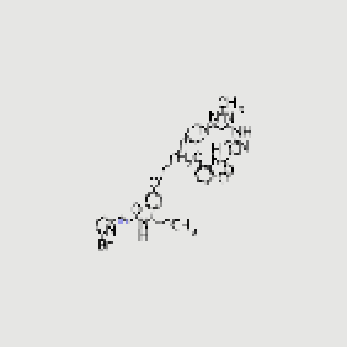 CCCC(NC(=O)/C=C/c1cccc(Br)n1)c1ccc(OCCCCCCN2CCN(c3cc(Nc4ncc(C(=O)Nc5c(C)cccc5Cl)s4)nc(C)n3)CC2)cc1